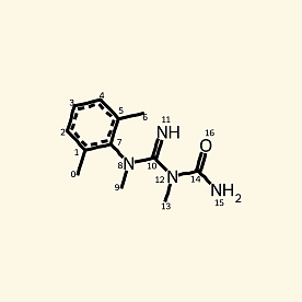 Cc1cccc(C)c1N(C)C(=N)N(C)C(N)=O